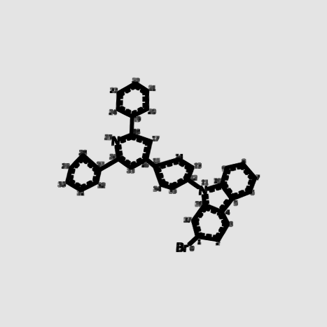 Brc1ccc2c3ccccc3n(-c3ccc(-c4cc(-c5ccccc5)nc(-c5ccccc5)c4)cc3)c2c1